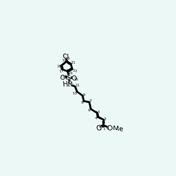 COC(=O)CCCCCCCCCNS(=O)(=O)c1ccc(Cl)cc1